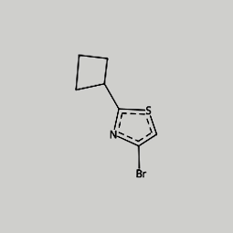 Brc1csc(C2CCC2)n1